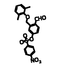 Cc1cccc(C)c1OCc1cc(OS(=O)(=O)c2ccc([N+](=O)[O-])cc2)ccc1C=O